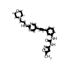 Cc1cc(NC(=O)Nc2cccc(C#Cc3cnc(NCCN4CCOCC4)nc3)c2)no1